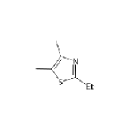 C[CH]c1nc(C)c(C)s1